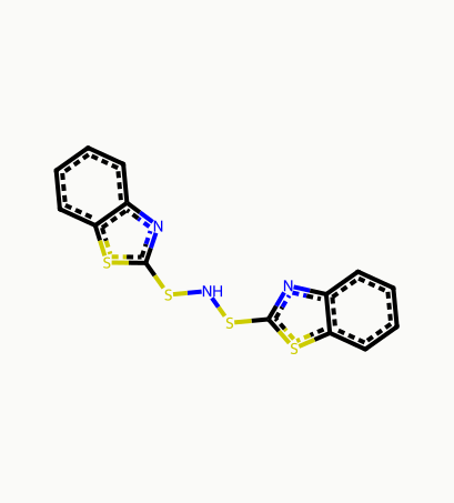 c1ccc2sc(SNSc3nc4ccccc4s3)nc2c1